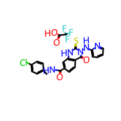 O=C(NCc1ccc(Cl)cc1)c1ccc2c(=O)n(Nc3ccccn3)c(=S)[nH]c2c1.O=C(O)C(F)(F)F